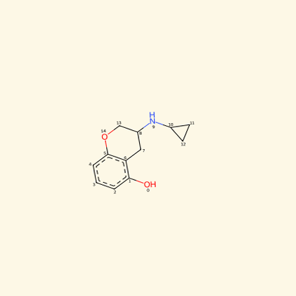 Oc1cccc2c1CC(NC1CC1)CO2